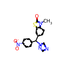 Cn1c(=O)sc2cc(C(c3ccc([N+](=O)[O-])cc3)n3cncn3)ccc21